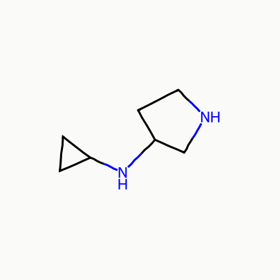 C1CC(NC2CC2)CN1